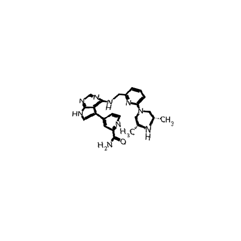 C[C@@H]1CN(c2cccc(CNc3ncnc4[nH]cc(-c5ccnc(C(N)=O)c5)c34)n2)C[C@H](C)N1